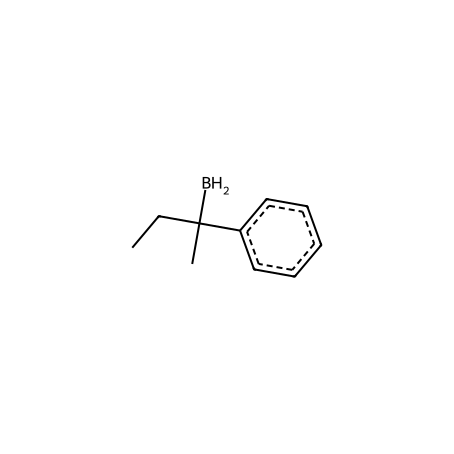 BC(C)(CC)c1ccccc1